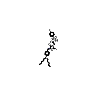 CCCCCN(CCCCC)c1ccc(/C=C2\SC(=S)N(CC(=O)NS(=O)(=O)c3ccc(F)cc3)C2=O)cc1